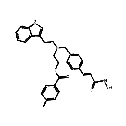 Cc1ccc(C(=O)OCCN(CCc2c[nH]c3ccccc23)Cc2ccc(/C=C/C(=O)NO)cc2)cc1